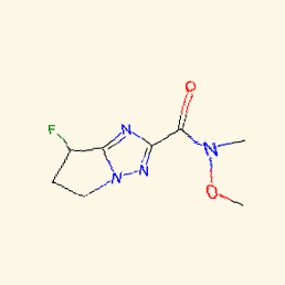 CON(C)C(=O)c1nc2n(n1)CCC2F